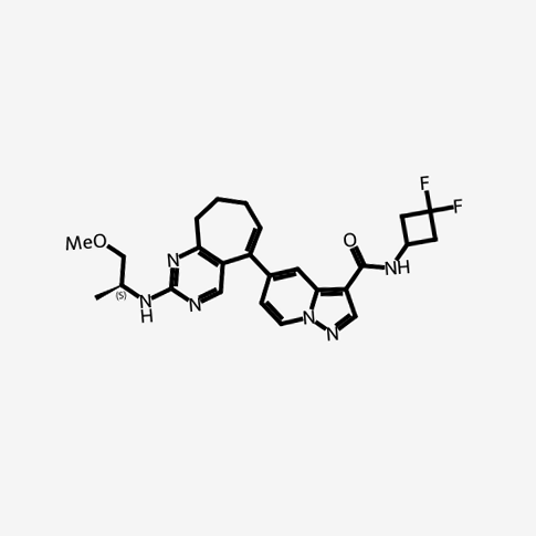 COC[C@H](C)Nc1ncc2c(n1)CCCC=C2c1ccn2ncc(C(=O)NC3CC(F)(F)C3)c2c1